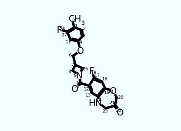 Cc1ccc(OCC2CN(C(=O)c3cc4c(cc3F)OCC(=O)CN4)C2)cc1F